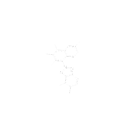 Cc1ccc2c(-n3nc4ccc(C)c(C)c4n3)c(C)c(C)c(C)c2c1